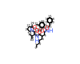 CCCCCC(CC(=O)NOCc1ccccc1)C(=O)NC(C(=O)N1CCCC1(C)OCc1ccccc1)C(C)C